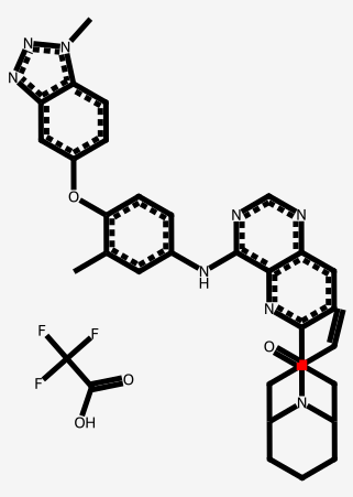 C=CC(=O)N1C2CCCC1CC(c1ccc3ncnc(Nc4ccc(Oc5ccc6c(c5)nnn6C)c(C)c4)c3n1)C2.O=C(O)C(F)(F)F